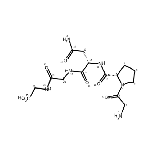 NCC(=O)N1CCC[C@H]1C(=O)N[C@@H](CC(N)=O)C(=O)NCC(=O)NCC(=O)O